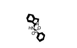 O=S(=O)(NC1=NCc2ccccc21)c1ccccc1